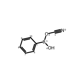 N#COB(O)c1ccccc1